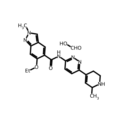 CCOc1cc2nn(C)cc2cc1C(=O)Nc1ccc(C2=CC(C)NCC2)nn1.O=CO